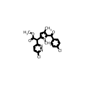 COC(=O)C(c1ccc(Cl)nn1)c1cc(C)c(C(=O)c2ccc(Cl)cc2)n1C